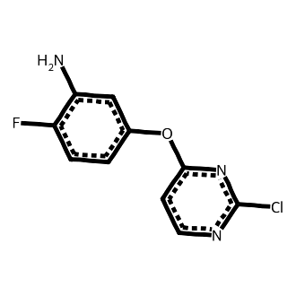 Nc1cc(Oc2ccnc(Cl)n2)ccc1F